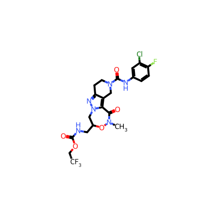 CN1OC(CNC(=O)OCC(F)(F)F)Cn2nc3c(c2C1=O)CN(C(=O)Nc1ccc(F)c(Cl)c1)CC3